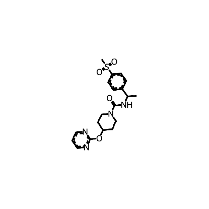 CC(NC(=O)N1CCC(Oc2ncccn2)CC1)c1ccc(S(C)(=O)=O)cc1